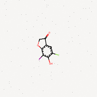 O=C1COc2c1cc(F)c(O)c2I